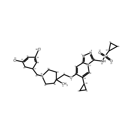 CC1(COc2cc3nnc(NS(=O)(=O)C4CC4)n3cc2C2CC2)CCN(CC2C=C(Cl)C=C(Cl)C2)CC1